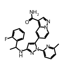 Cc1cccc(-n2nc(NC(C)c3ccccc3F)cc2-c2ccn3ncc(C(N)=O)c3c2)n1